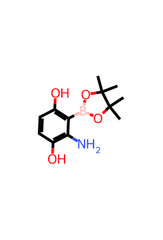 CC1(C)OB(c2c(O)ccc(O)c2N)OC1(C)C